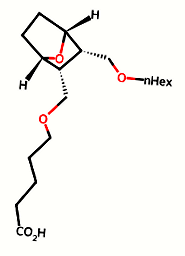 CCCCCCOC[C@@H]1[C@H](COCCCCC(=O)O)[C@@H]2CC[C@H]1O2